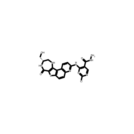 O=C(NP)c1cnc(Cl)nc1Nc1ccc2c(ccc3sc4c(c32)NC[C@@H](CO)NC4=O)n1